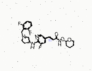 O=C(/C=C/c1cnc(N[C@@H]2CCN(Cc3c(F)cccc3F)C2)c(F)c1)NOC1CCCCO1